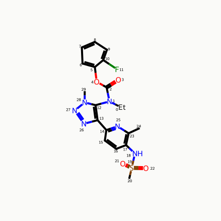 CCN(C(=O)Oc1ccccc1F)c1c(-c2ccc(NS(C)(=O)=O)c(C)n2)nnn1C